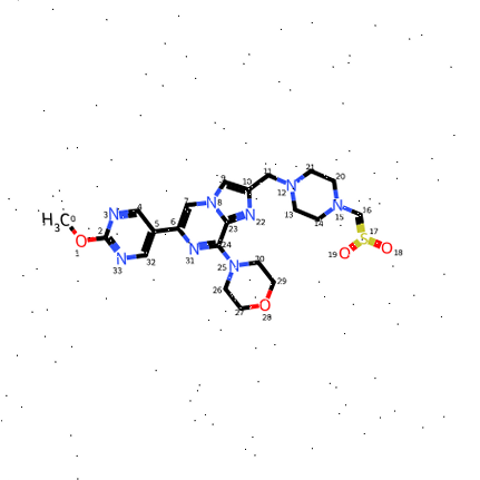 COc1ncc(-c2cn3cc(CN4CCN(C=S(=O)=O)CC4)nc3c(N3CCOCC3)n2)cn1